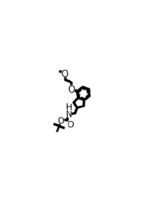 COCCOc1cccc2c1CC(CNC(=O)OC(C)(C)C)C2